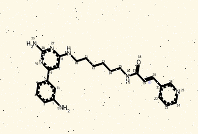 Nc1cccc(-c2cc(NCCCCCCNC(=O)/C=C/c3cccnc3)nc(N)n2)c1